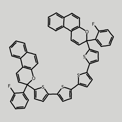 Fc1ccccc1C1(c2ccc(-c3ccc(-c4ccc(-c5ccc(C6(c7ccccc7F)C=Cc7c(ccc8ccccc78)O6)s5)s4)s3)s2)C=Cc2c(ccc3ccccc23)O1